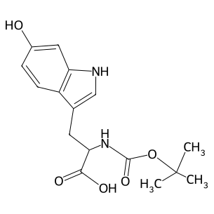 CC(C)(C)OC(=O)NC(Cc1c[nH]c2cc(O)ccc12)C(=O)O